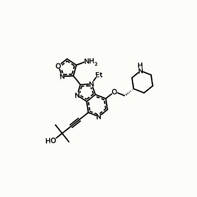 CCn1c(-c2nocc2N)nc2c(C#CC(C)(C)O)ncc(OC[C@H]3CCCNC3)c21